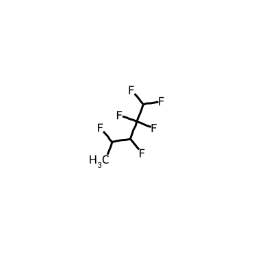 CC(F)C(F)C(F)(F)C(F)F